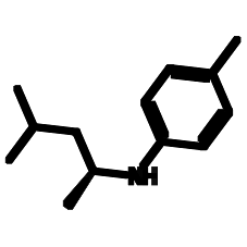 Cc1ccc(N[C@@H](C)CC(C)C)cc1